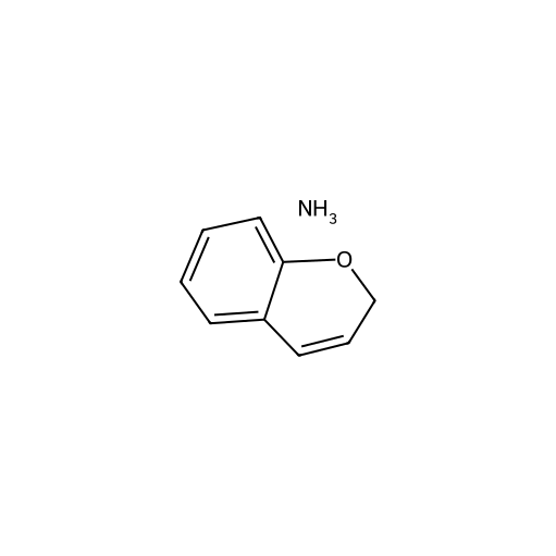 C1=Cc2ccccc2OC1.N